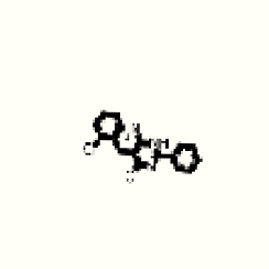 Nc1[nH]c(-c2ccccc2)nc(=O)c1Cc1ccccc1Cl